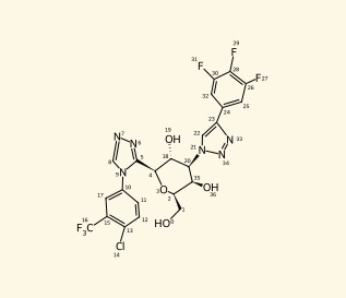 OC[C@H]1O[C@@H](c2nncn2-c2ccc(Cl)c(C(F)(F)F)c2)[C@H](O)[C@@H](n2cc(-c3cc(F)c(F)c(F)c3)nn2)[C@H]1O